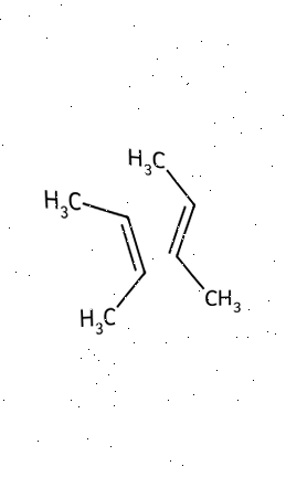 C/C=C\C.CC=CC